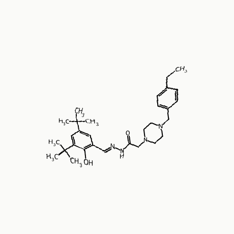 CCc1ccc(CN2CCN(CC(=O)N/N=C/c3cc(C(C)(C)C)cc(C(C)(C)C)c3O)CC2)cc1